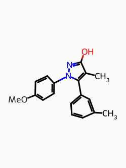 COc1ccc(-n2nc(O)c(C)c2-c2cccc(C)c2)cc1